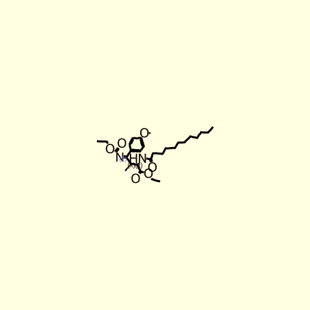 CCCCCCCCCCCC(=O)N[C@@H](C(=O)OCC)[C@@H](C)/C(=N/C(=O)OCC)c1ccc(OC)cc1